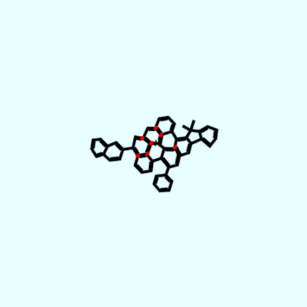 CC1(C)c2ccccc2-c2cccc(-c3ccccc3N(c3ccc(-c4ccc5ccccc5c4)cc3)c3cccc(-c4ccccc4)c3-c3ccccc3-c3ccccc3)c21